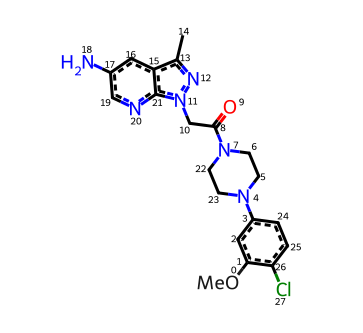 COc1cc(N2CCN(C(=O)Cn3nc(C)c4cc(N)cnc43)CC2)ccc1Cl